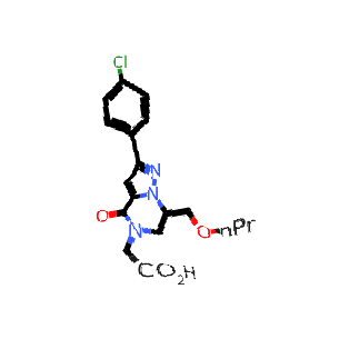 CCCOCC1CN(CC(=O)O)C(=O)c2cc(-c3ccc(Cl)cc3)nn21